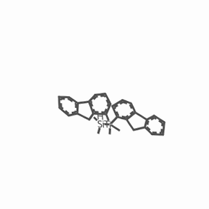 C[SiH](C)[Ti]([CH3])([CH3])([c]1cccc2c1Cc1ccccc1-2)[c]1cccc2c1Cc1ccccc1-2